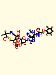 CC(C)(C)C(=O)SCCOP(=O)(OCCC#N)O[C@@H]1C[C@H](n2cnc3c(NC(=O)COc4ccccc4)ncnc32)O[C@@H]1CO